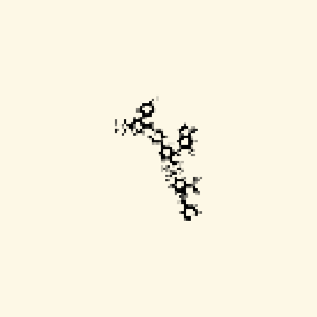 CC1(C)CC(c2ccc(Cl)cc2)=C(CN2CCN(c3ccc(C(=O)NS(=O)(=O)c4ccc(NCC5CCOCC5)c([N+](=O)[O-])c4)c(Oc4cc5cc[nH]c5cc4Cl)c3)CC2)CO1